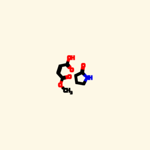 COC(=O)/C=C\C(=O)O.O=C1CCCN1